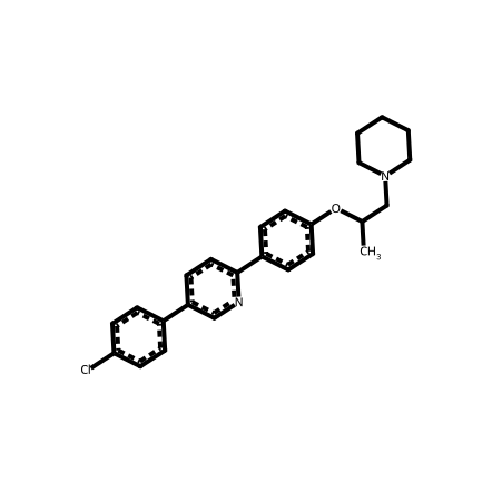 CC(CN1CCCCC1)Oc1ccc(-c2ccc(-c3ccc(Cl)cc3)cn2)cc1